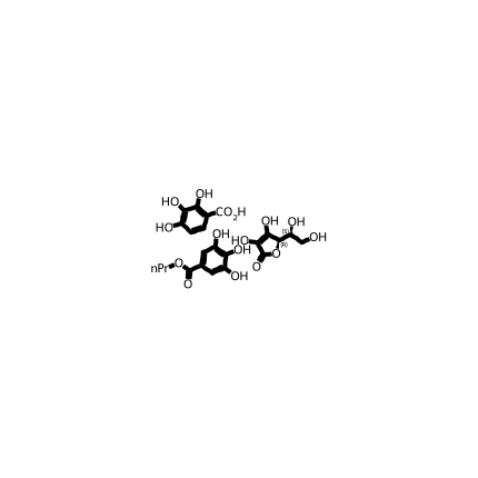 CCCOC(=O)c1cc(O)c(O)c(O)c1.O=C(O)c1ccc(O)c(O)c1O.O=C1O[C@H]([C@@H](O)CO)C(O)=C1O